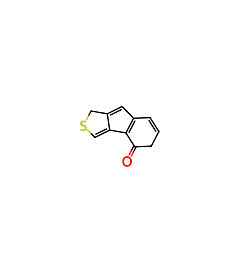 O=C1CC=CC2=C1C1=CSCC1=C2